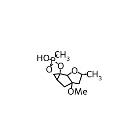 COC12CC3C[C@]3(OP(C)(=O)O)C1O[C@@H](C)C2